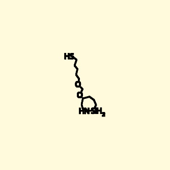 SCCCCCOCOC1CCC[SiH2]NCC1